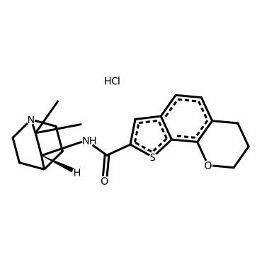 CC1(C)[C@H](NC(=O)c2cc3ccc4c(c3s2)OCCC4)C2CCN1CC2.Cl